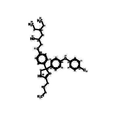 CCOCC1=NC(c2ccc(OCC(O)CN(CC)CC)cc2)(c2ccc(Oc3ccc(Cl)cc3)cc2)CN1